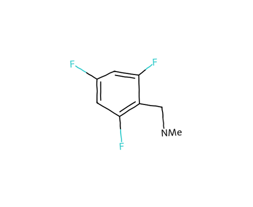 CNCc1c(F)cc(F)cc1F